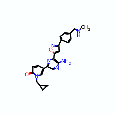 CNCc1ccc(-c2cc(-c3nc(-c4ccc(=O)n(CC5CC5)c4)cnc3N)on2)cc1